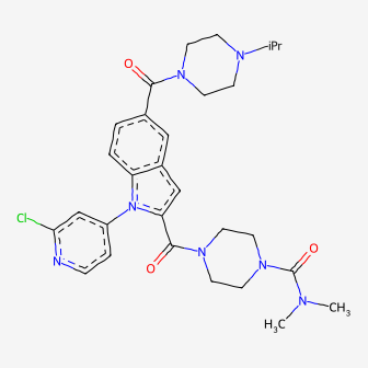 CC(C)N1CCN(C(=O)c2ccc3c(c2)cc(C(=O)N2CCN(C(=O)N(C)C)CC2)n3-c2ccnc(Cl)c2)CC1